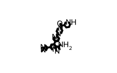 Cn1cc(-c2cc(-c3ccc(N4CCN(C(=O)C5CCCNC5)CC4)nc3)c3c(N)cnn3c2)cn1